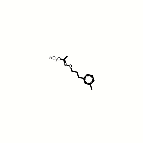 CC(=NOCCCc1cccc(C)c1)C(=O)O